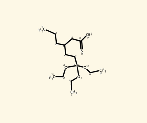 CCCC(CC[Si](OCC)(OCC)OCC)CC(O)=S